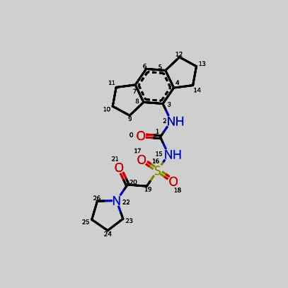 O=C(Nc1c2c(cc3c1CCC3)CCC2)NS(=O)(=O)CC(=O)N1CCCC1